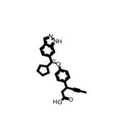 CC#CC(CC(=O)O)c1ccc(O[C@H](c2ccc3cn[nH]c3c2)C2CCCC2)cc1